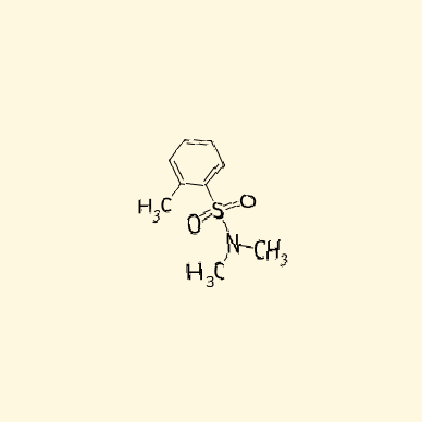 Cc1ccccc1S(=O)(=O)N(C)C